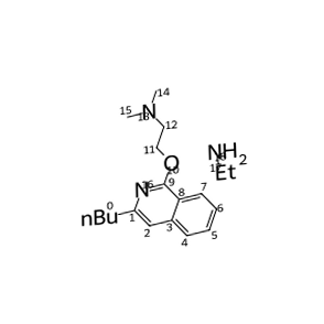 CCCCc1cc2ccccc2c(OCCN(C)C)n1.CCN